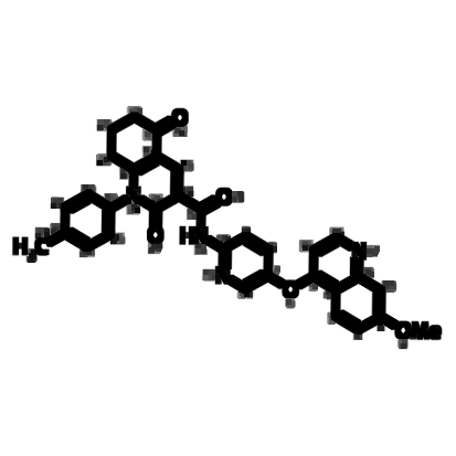 COc1ccc2c(Oc3ccc(NC(=O)c4cc5c(n(-c6ccc(C)cc6)c4=O)CCCC5=O)nc3)ccnc2c1